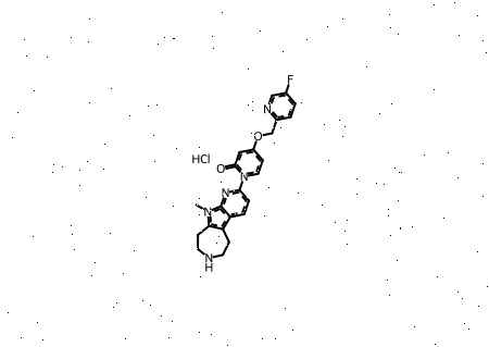 Cl.Cn1c2c(c3ccc(-n4ccc(OCc5ccc(F)cn5)cc4=O)nc31)CCNCC2